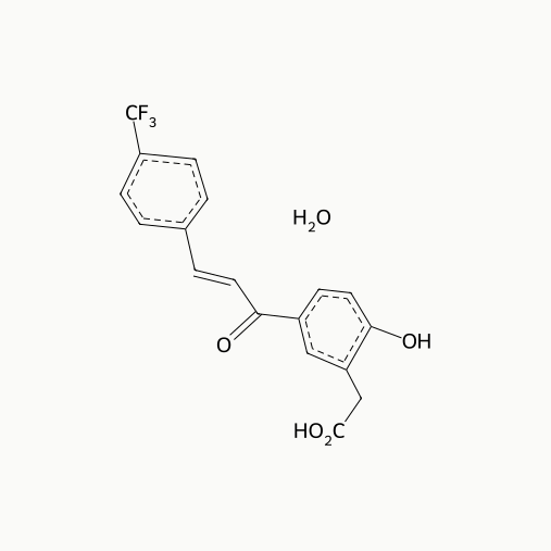 O.O=C(O)Cc1cc(C(=O)C=Cc2ccc(C(F)(F)F)cc2)ccc1O